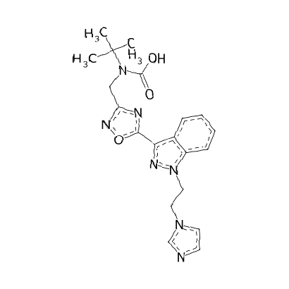 CC(C)(C)N(Cc1noc(-c2nn(CCn3ccnc3)c3ccccc23)n1)C(=O)O